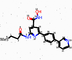 CSCCC(=O)Nc1cc(C(=O)NO)cc(-c2ccc(-c3cccnc3)cc2)n1